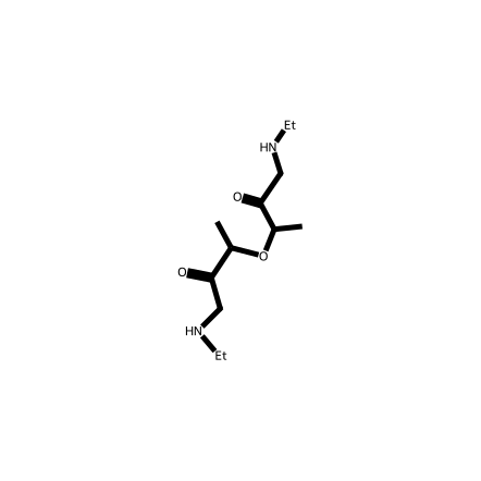 CCNCC(=O)C(C)OC(C)C(=O)CNCC